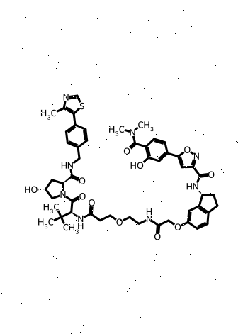 Cc1ncsc1-c1ccc(CNC(=O)[C@@H]2C[C@@H](O)CN2C(=O)[C@@H](NC(=O)CCOCCNC(=O)COc2ccc3c(c2)[C@H](NC(=O)c2cc(-c4ccc(C(=O)N(C)C)c(O)c4)on2)CC3)C(C)(C)C)cc1